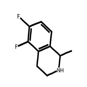 CC1NCCc2c1ccc(F)c2F